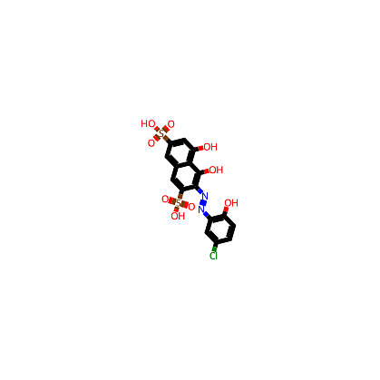 O=S(=O)(O)c1cc(O)c2c(O)c(N=Nc3cc(Cl)ccc3O)c(S(=O)(=O)O)cc2c1